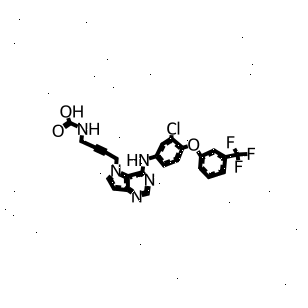 O=C(O)NCC#CCn1ccc2ncnc(Nc3ccc(Oc4cccc(C(F)(F)F)c4)c(Cl)c3)c21